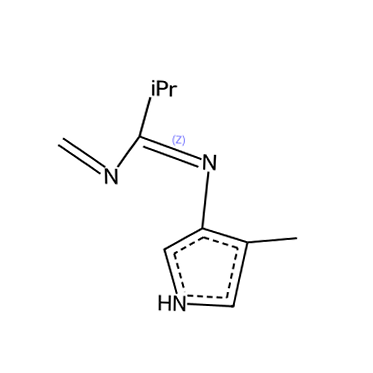 C=N/C(=N\c1c[nH]cc1C)C(C)C